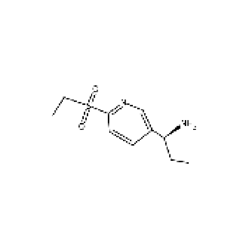 CC[C@H](N)c1ccc(S(=O)(=O)CC)nc1